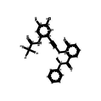 CN(C(=O)c1cccc(=O)n1CC#Cc1nc(Cl)c(F)cc1NC(=O)C(F)(F)F)c1ccccc1